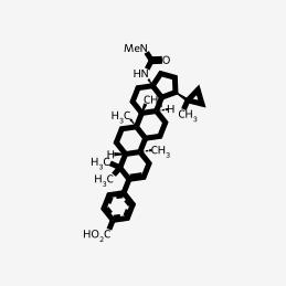 CNC(=O)N[C@]12CC[C@@H](C3(C)CC3)C1[C@H]1CCC3[C@@]4(C)CC=C(c5ccc(C(=O)O)cc5)C(C)(C)[C@@H]4CC[C@@]3(C)[C@]1(C)CC2